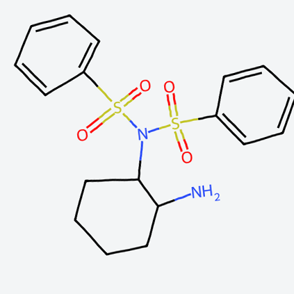 NC1CCCCC1N(S(=O)(=O)c1ccccc1)S(=O)(=O)c1ccccc1